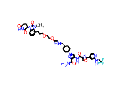 Cn1c(=O)n(C2CCC(=O)NC2=O)c2cccc(CCCOCCOCCNC[C@H]3CC[C@H](n4cc(NC(=O)c5coc(-c6ccnc(NCC(F)(F)F)c6)n5)c(C(N)=O)n4)CC3)c21